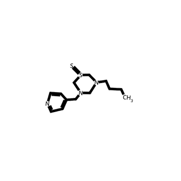 CCCCN1CN(Cc2ccncc2)CS(=S)C1